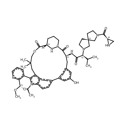 CCn1c(-c2cccnc2[C@H](C)OC)c2c3cc(ccc31)-c1cc(O)cc(c1)C[C@H](NC(=O)[C@H](C(C)C)N1CC[C@]3(CCN(C(=O)[C@H]4CN4)C3)C1)C(=O)N1CCC[C@H](N1)C(=O)OCC(C)(C)C2